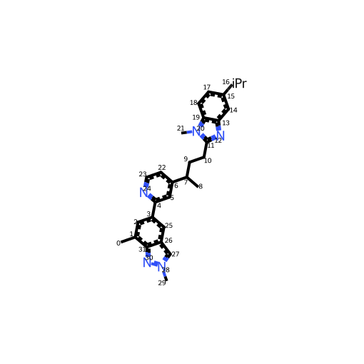 Cc1cc(-c2cc(C(C)CCc3nc4cc(C(C)C)ccc4n3C)ccn2)cc2cn(C)nc12